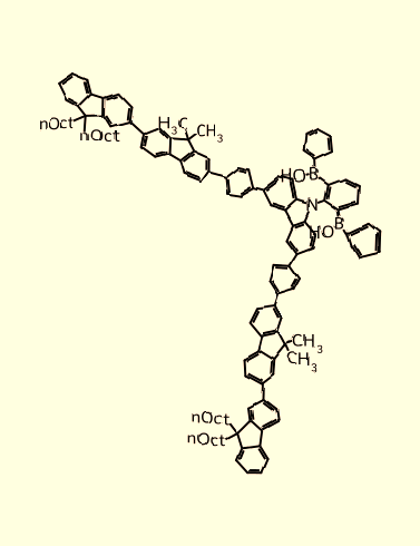 CCCCCCCCC1(CCCCCCCC)c2ccccc2-c2ccc(-c3ccc4c(c3)C(C)(C)c3cc(-c5ccc(-c6ccc7c(c6)c6cc(-c8ccc(-c9ccc%10c(c9)C(C)(C)c9cc(-c%11ccc%12c(c%11)C(CCCCCCCC)(CCCCCCCC)c%11ccccc%11-%12)ccc9-%10)cc8)ccc6n7-c6c(B(O)c7ccccc7)cccc6B(O)c6ccccc6)cc5)ccc3-4)cc21